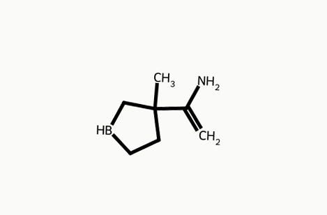 C=C(N)C1(C)CBCC1